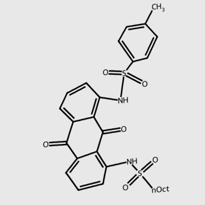 CCCCCCCCS(=O)(=O)Nc1cccc2c1C(=O)c1c(NS(=O)(=O)c3ccc(C)cc3)cccc1C2=O